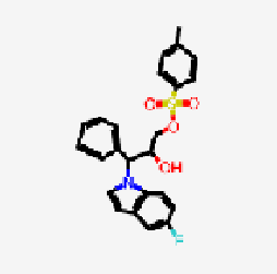 Cc1ccc(S(=O)(=O)OCC(O)C(c2ccccc2)n2ccc3cc(F)ccc32)cc1